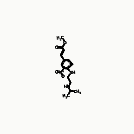 COC(=O)C=Cc1ccc(NCCNC(C)C)c([N+](=O)[O-])c1